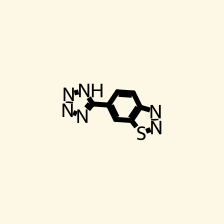 c1cc2nnsc2cc1-c1nnn[nH]1